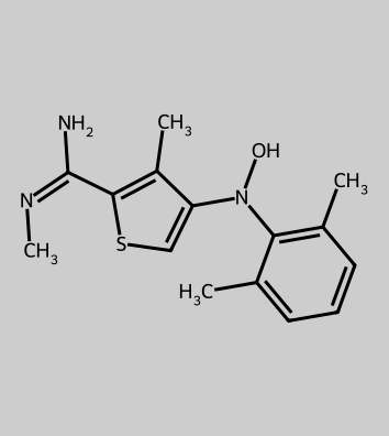 C/N=C(/N)c1scc(N(O)c2c(C)cccc2C)c1C